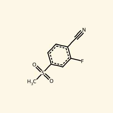 CS(=O)(=O)c1ccc(C#N)c(F)c1